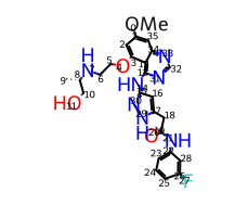 COc1cc(OCCN[C@@H](C)CO)c2c(Nc3cc(CC(=O)Nc4cccc(F)c4)[nH]n3)ncnc2c1